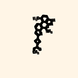 C=CC(=O)N1CC(c2cn3ccc(-c4c(C)ccc5[nH]ncc45)c(C(N)=O)c3n2)C1